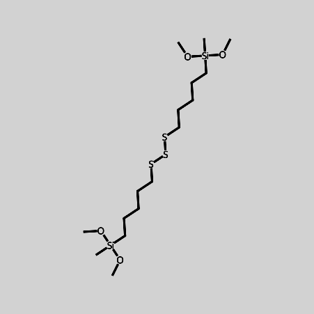 CO[Si](C)(CCCCCSSSCCCCC[Si](C)(OC)OC)OC